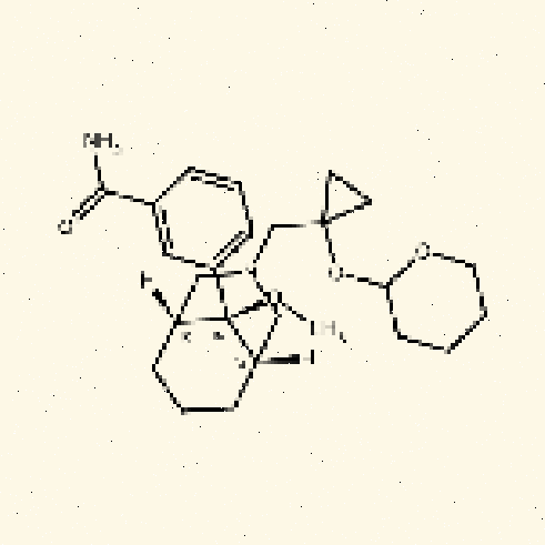 CO[C@]1(c2cccc(C(N)=O)c2)[C@@H]2CCC[C@H]1CN(CC1(OC3CCCCO3)CC1)C2